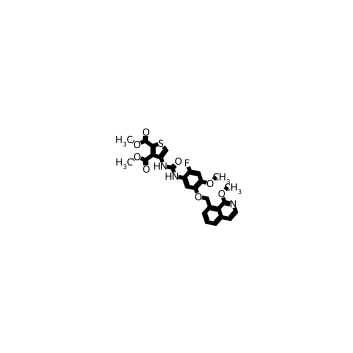 COC(=O)c1scc(NC(=O)Nc2cc(OCc3cccc4ccnc(OC)c34)c(OC)cc2F)c1C(=O)OC